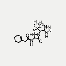 CC1(C)S[C@H]2C(NC(=O)CC3=CCCCC3)C(=O)N2C1c1nnn[nH]1